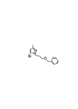 Cc1cc(Br)n(CCCOCc2ccccc2)n1